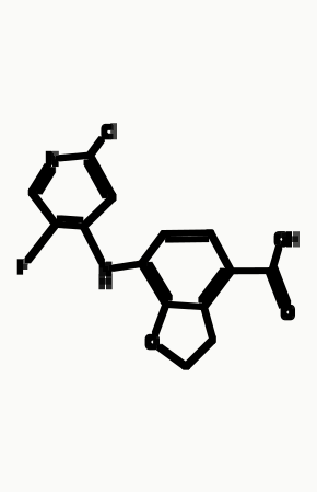 O=C(O)c1ccc(Nc2cc(Cl)ncc2F)c2c1CCO2